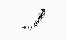 O=C(O)Cc1ccc(OCC2CCN(C(=O)Oc3ccc4cccnc4c3)CC2)cc1